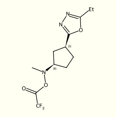 CCc1nnc([C@H]2CC[C@@H](N(C)OC(=O)C(F)(F)F)C2)o1